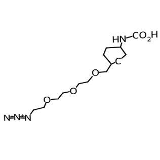 [N-]=[N+]=NCCOCCOCCOCC1CCC(NC(=O)O)CC1